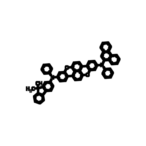 CC1(C)c2ccccc2-c2ccc(N(c3ccccc3)c3ccc4c(c3)Oc3ccc5c6c(ccc-4c36)Oc3cc(N(c4ccccc4)c4cc6ccccc6c6ccccc46)ccc3-5)cc21